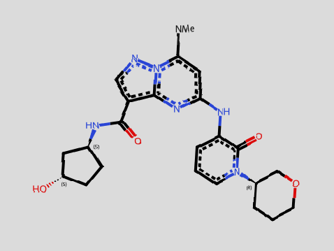 CNc1cc(Nc2cccn([C@@H]3CCCOC3)c2=O)nc2c(C(=O)N[C@H]3CC[C@H](O)C3)cnn12